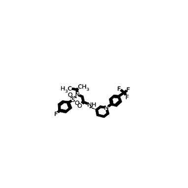 CC(C)N(CC(=O)NC[C@H]1CCCN(c2ccc(C(F)(F)F)cc2)C1)S(=O)(=O)c1ccc(F)cc1